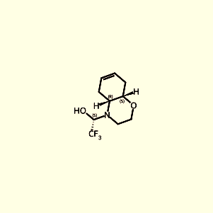 O[C@H](N1CCO[C@H]2CC=CC[C@H]21)C(F)(F)F